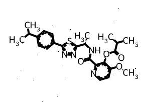 COc1ccnc(C(=O)N[C@@H](C)c2nnc(-c3ccc(C(C)C)cc3)s2)c1OC(=O)C(C)C